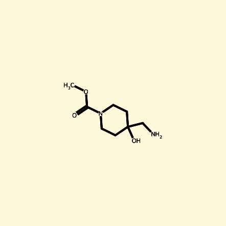 COC(=O)N1CCC(O)(CN)CC1